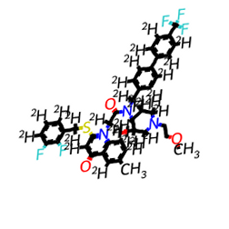 [2H]c1c([2H])c(F)c(F)c(C([2H])([2H])Sc2c([2H])c(=O)c3c([2H])c(C)c([2H])c([2H])c3n2C([2H])([2H])C(=O)N(C([2H])([2H])c2c([2H])c([2H])c(-c3c([2H])c([2H])c(C(F)(F)F)c([2H])c3[2H])c([2H])c2[2H])C2([2H])C([2H])([2H])C([2H])([2H])N(CCOC)C([2H])([2H])C2([2H])[2H])c1[2H]